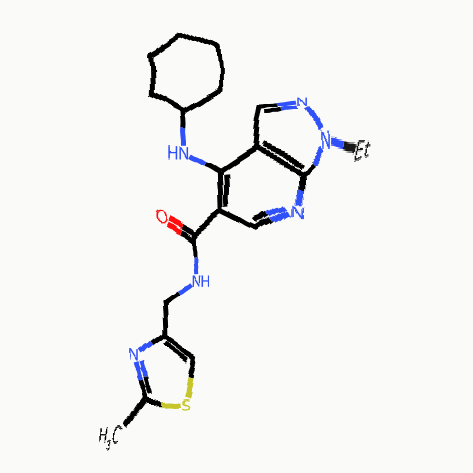 CCn1ncc2c(NC3CCCCC3)c(C(=O)NCc3csc(C)n3)cnc21